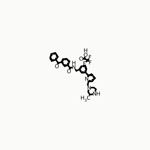 C[C@H]1CN(Cc2cccc(-c3cccc(CNC(=O)c4cccc(C(=O)c5ccccc5)c4)c3)n2)CCN1.O=C(O)C(F)(F)F